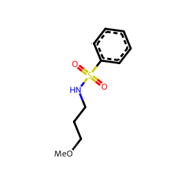 COCCCNS(=O)(=O)c1[c]cccc1